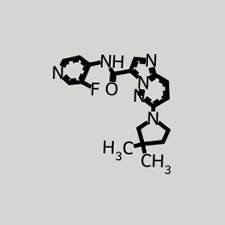 CC1(C)CCN(c2ccc3ncc(C(=O)Nc4ccncc4F)n3n2)C1